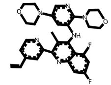 C=Cc1ccnc(-c2nc3cc(F)cc(F)c3c(Nc3cc(N4CCOCC4)cnc3N3CCOCC3)c2C)c1